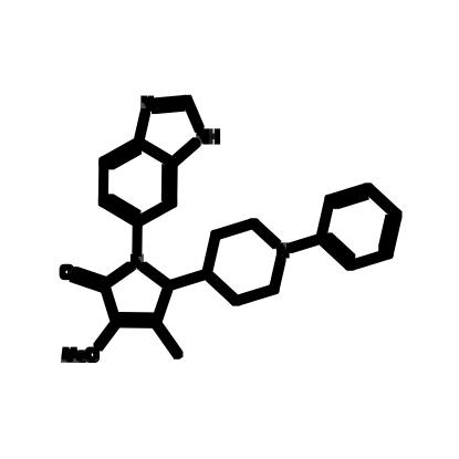 COC1=C(C)C(C2CCN(c3ccccc3)CC2)N(c2ccc3nc[nH]c3c2)C1=O